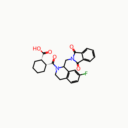 O=C(O)[C@H]1CCCC[C@H]1C(=O)N1CCc2ccc(F)cc2C1CN1C(=O)c2ccccc2C1=O